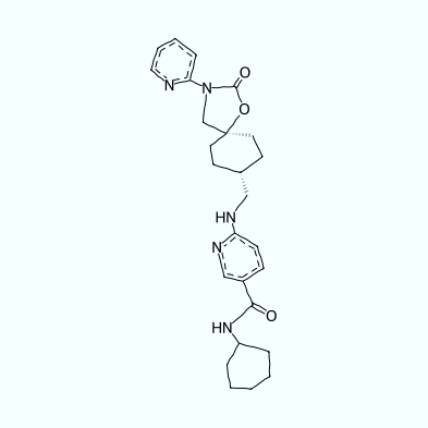 O=C(NC1CCCCC1)c1ccc(NC[C@H]2CC[C@]3(CC2)CN(c2ccccn2)C(=O)O3)nc1